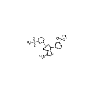 CS(=O)(=O)c1cccc(-c2nc(-c3cccc(S(N)(=O)=O)c3)nc3c2ncn3N)c1